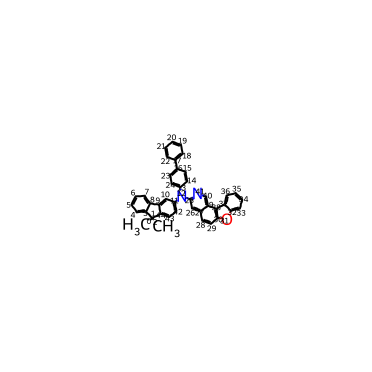 CC1(C)c2ccccc2-c2cc(N(c3ccc(-c4ccccc4)cc3)c3cc4ccc5oc6ccccc6c5c4cn3)ccc21